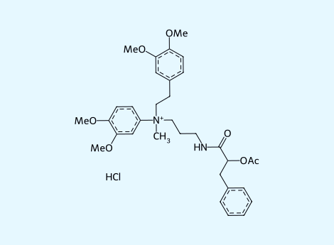 COc1ccc(CC[N+](C)(CCCNC(=O)C(Cc2ccccc2)OC(C)=O)c2ccc(OC)c(OC)c2)cc1OC.Cl